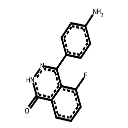 Nc1ccc(-c2n[nH]c(=O)c3cccc(F)c23)cc1